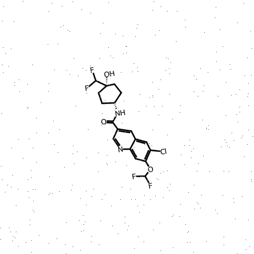 O=C(N[C@H]1CC[C@](O)(C(F)F)CC1)c1cnc2cc(OC(F)F)c(Cl)cc2c1